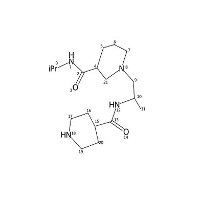 CC(C)NC(=O)C1CCCN(CC(C)NC(=O)C2CCNCC2)C1